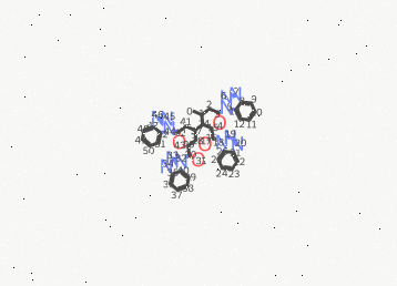 CC(CC(=O)n1nnc2ccccc21)C(CC(=O)n1nnc2ccccc21)C(CCC(=O)n1nnc2ccccc21)CC(=O)n1nnc2ccccc21